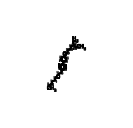 CCCCCCOCCc1cnc(-c2ccc(OCCCCC(C)CC)cc2)nc1